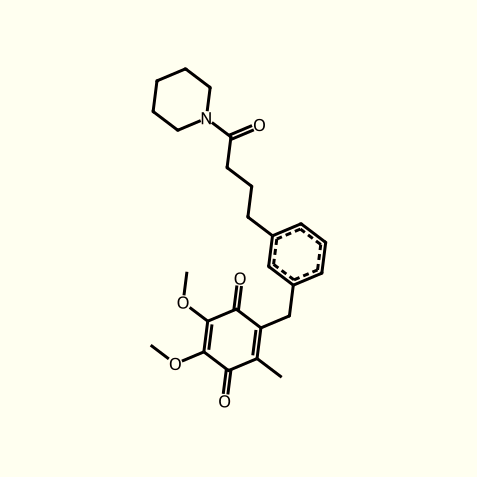 COC1=C(OC)C(=O)C(Cc2cccc(CCCC(=O)N3CCCCC3)c2)=C(C)C1=O